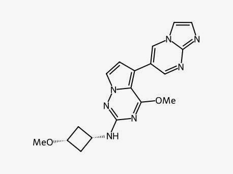 COc1nc(N[C@H]2C[C@@H](OC)C2)nn2ccc(-c3cnc4nccn4c3)c12